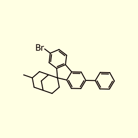 CC1CC2CCC3(c4ccc(-c5ccccc5)cc4-c4ccc(Br)cc43)C(C1)C2